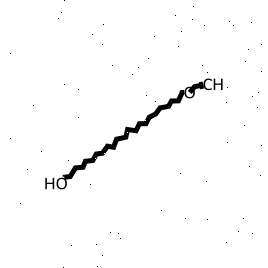 C#CCOCCCCCCCCCCCCCCCCCCCCCCCO